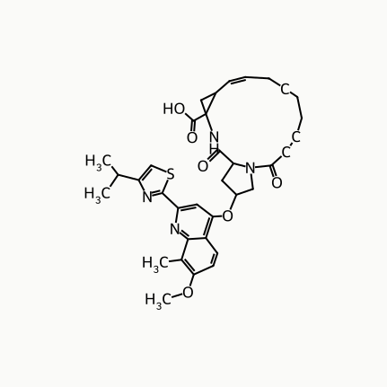 COc1ccc2c(OC3CC4C(=O)NC5(C(=O)O)CC5C=CCCCCCCC(=O)N4C3)cc(-c3nc(C(C)C)cs3)nc2c1C